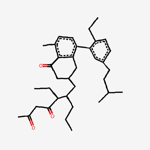 CCCC(CC1CC(=O)c2c(C)ccc(-c3cc(CCC(C)C)ccc3CC)c2C1)C(CC)C(=O)CC(C)=O